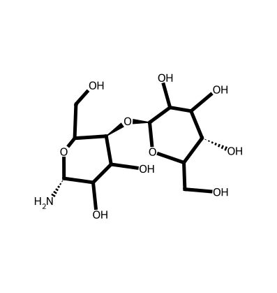 N[C@@H]1OC(CO)[C@@H](O[C@@H]2OC(CO)[C@@H](O)C(O)C2O)C(O)C1O